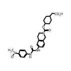 C[S+]([O-])c1ccc(NC(=O)Nc2ccc3c(c2)CCN(C(=O)OC2CCC(CC(=O)O)CC2)C3)cc1